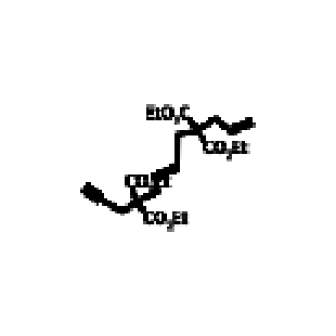 C#CCC(C/C=C/CC(CC=C)(C(=O)OCC)C(=O)OCC)(C(=O)OCC)C(=O)OCC